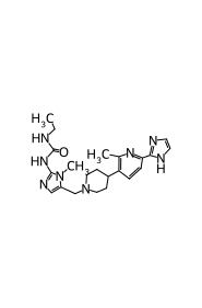 CCNC(=O)Nc1ncc(CN2CCC(c3ccc(-c4ncc[nH]4)nc3C)CC2)n1C